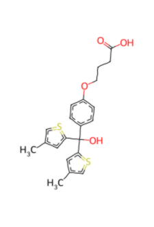 Cc1csc(C(O)(c2ccc(OCCCC(=O)O)cc2)c2cc(C)cs2)c1